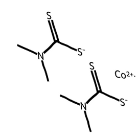 CN(C)C(=S)[S-].CN(C)C(=S)[S-].[Co+2]